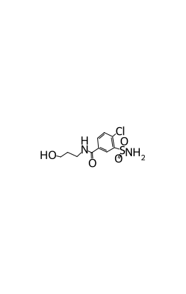 NS(=O)(=O)c1cc(C(=O)NCCCO)ccc1Cl